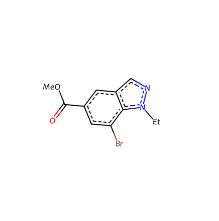 CCn1ncc2cc(C(=O)OC)cc(Br)c21